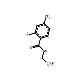 CCc1cc(C(F)(F)F)ccc1C(=O)NCC(=O)O